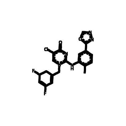 Cc1ccc(-c2nnco2)cc1Nc1nc(=O)c(Cl)cn1CC1=CC(F)=CC(F)C1